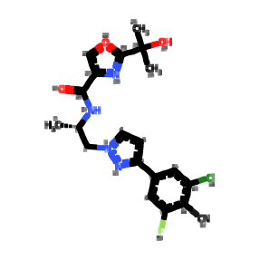 C[C@@H](Cn1ccc(-c2cc(F)c(C#N)c(Cl)c2)n1)NC(=O)c1coc(C(C)(C)O)n1